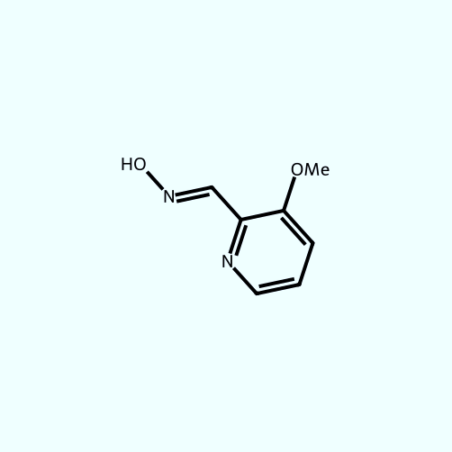 COc1cccnc1C=NO